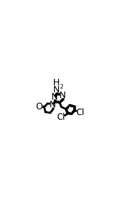 Nc1ncc(Cc2ccc(Cl)cc2Cl)c(N2CCCC(=O)C2)n1